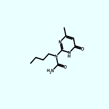 CCCCN(C(N)=O)c1nc(C)cc(=O)[nH]1